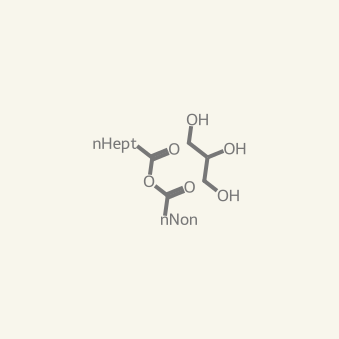 CCCCCCCCCC(=O)OC(=O)CCCCCCC.OCC(O)CO